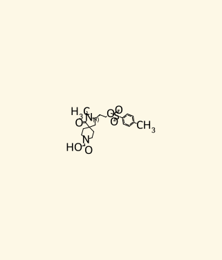 Cc1ccc(S(=O)(=O)OCC[C@H]2CC3(CCN(C(=O)O)CC3)C(=O)N2C)cc1